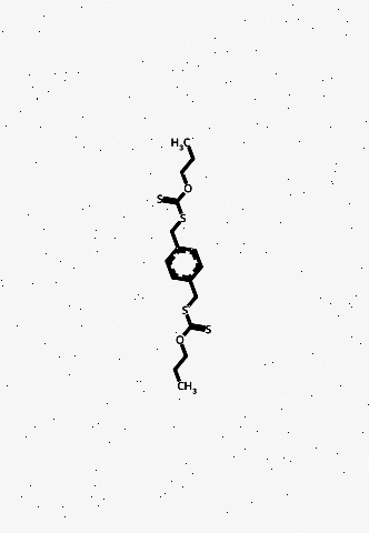 CCCOC(=S)SCc1ccc(CSC(=S)OCCC)cc1